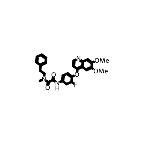 COc1cc2nccc(OC3=CC=C(NC(=O)C(=O)N(C)CCc4ccccc4)CC3F)c2cc1OC